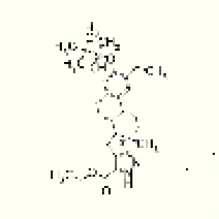 CCOC(=O)c1[nH]nc2c1CC1C3CCc4cc(O[Si](C)(C)C(C)(C)C)c(CC)cc4C3CC[C@]21C